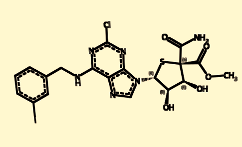 COC(=O)[C@]1(C(N)=O)S[C@@H](n2cnc3c(NCc4cccc(I)c4)nc(Cl)nc32)[C@H](O)[C@@H]1O